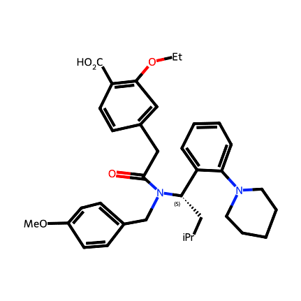 CCOc1cc(CC(=O)N(Cc2ccc(OC)cc2)[C@@H](CC(C)C)c2ccccc2N2CCCCC2)ccc1C(=O)O